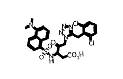 CN(C)c1cccc2c(S(=O)(=O)NC(CC(=O)O)C(=O)Cn3nnnc3Cc3c(Cl)cccc3Cl)cccc12